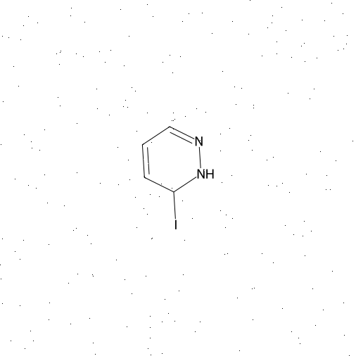 IC1C=CC=NN1